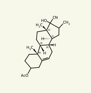 CC(=O)OC1CC[C@@]2(C)C(=CC[C@@H]3[C@H]2CC[C@@]2(C)[C@H]3CC(C)C2(O)C#N)C1